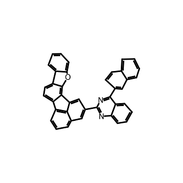 c1ccc2cc(-c3nc(-c4cc5c6c(cccc6c4)-c4ccc6c(oc7ccccc76)c4-5)nc4ccccc34)ccc2c1